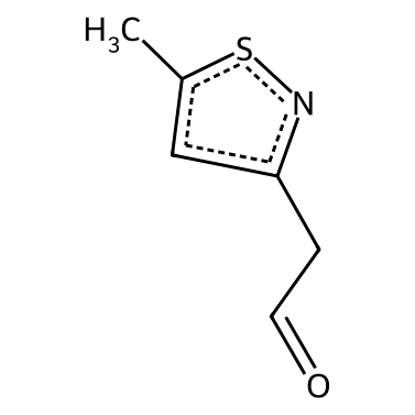 Cc1cc(CC=O)ns1